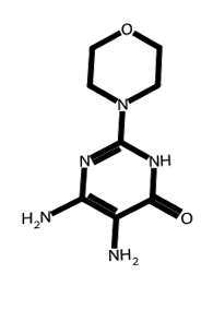 Nc1nc(N2CCOCC2)[nH]c(=O)c1N